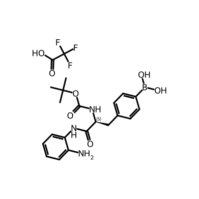 CC(C)(C)OC(=O)N[C@@H](Cc1ccc(B(O)O)cc1)C(=O)Nc1ccccc1N.O=C(O)C(F)(F)F